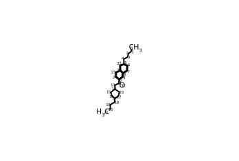 CCCCCc1ccc2cc(C(=O)CC3CCC(CCCC)CC3)ccc2c1